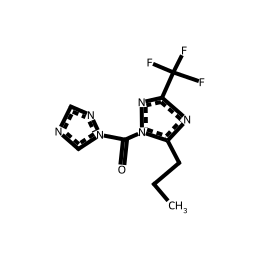 CCCc1nc(C(F)(F)F)nn1C(=O)n1cncn1